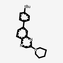 CC(C)(C)c1ccc(-c2ccc3ncc(N4CCCCC4)nc3c2)cc1